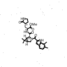 COC(=O)[C@H](C[C@@H]1CCNC1=O)NC(=O)[C@@H]1[C@@H]2[C@H](CN1C(=O)c1cc3ccc(C)c(C)c3[nH]1)C2(C)C